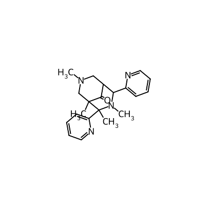 CN1CC2C(=O)C(C)(C1)C(C)(c1ccccn1)N(C)C2c1ccccn1